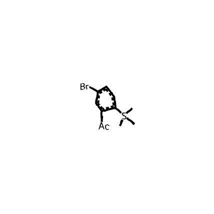 CC(=O)c1cc(Br)ccc1S(C)(C)C